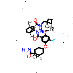 COc1cc(F)c(O[C@H]2CC[C@@](C)(C(N)=O)CC2)cc1C(=O)N[C@@H]1[C@@H]2CC[C@@H](C2)[C@@H]1C(=O)NCC1(C)CCC1